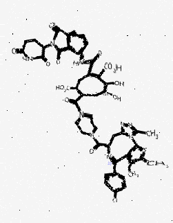 Cc1sc2c(c1C)/C(c1ccc(Cl)cc1)=N\C(C(=O)N1CCN(C(=O)C3C[C@H](O)C(O)C(C(=O)O)C(C(=O)Nc4cccc5c4C(=O)N(C4CCC(=O)NC4=O)C5=O)CC3C(=O)O)CC1)Cc1nnc(C)n1-2